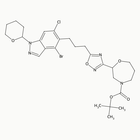 CC(C)(C)OC(=O)N1CCCOC(c2noc(CCCc3c(Cl)cc4c(cnn4C4CCCCO4)c3Br)n2)C1